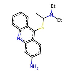 CCN(CC)C(C)Sc1c2ccccc2nc2cc(N)ccc12